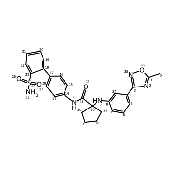 Cc1nc(-c2cccc(NC3(C(=O)Nc4ccc(-c5ccccc5S(N)(=O)=O)cc4)CCCC3)c2)no1